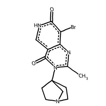 Cc1nc2c(Br)c(=O)[nH]cc2c(=O)n1C12CCN(CC1)C2